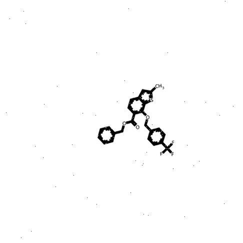 Cc1cc2ccc(C(=O)OCc3ccccc3)c(OCc3ccc(C(F)(F)F)cc3)c2s1